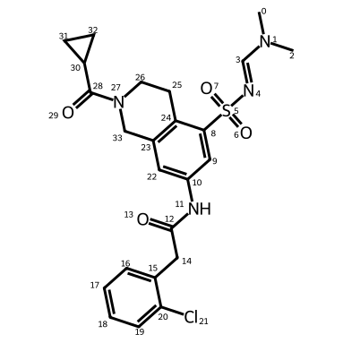 CN(C)/C=N/S(=O)(=O)c1cc(NC(=O)Cc2ccccc2Cl)cc2c1CCN(C(=O)C1CC1)C2